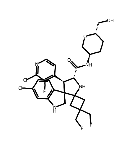 O=C(N[C@@H]1CC[C@@H](CO)OC1)[C@@H]1NC2(CC(CF)(CF)C2)[C@@]2(CNc3cc(Cl)ccc32)[C@H]1c1ccnc(Cl)c1F